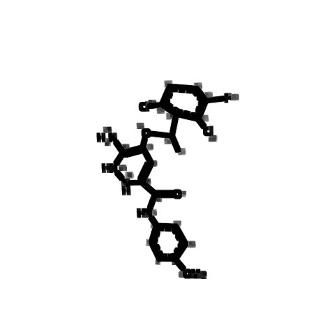 COc1ccc(NC(=O)C2=CC(OC(C)c3c(Cl)ccc(F)c3Cl)=C(N)NN2)cc1